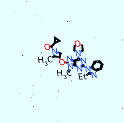 CCc1nc2ccccc2n1-c1nc(N2CCOCC2)c2nc(OC3CN(C(=O)C4CC4)C3C)n(C)c2n1